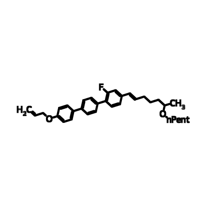 C=CCOc1ccc(-c2ccc(-c3ccc(C=CCCCC(C)OCCCCC)cc3F)cc2)cc1